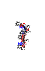 CCc1ccccc1C(=O)NC(=O)[C@@H](OC(=O)[C@@H]1CCCN1C(=O)[C@@H]1CCCN1C(=O)[C@H](C(C)C)N(C)C(=O)[C@@H](NC(=O)OCc1ccccc1)C(C)C)C(C)C